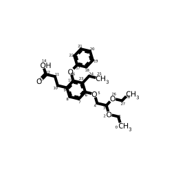 CCOC(COc1ccc(CCC(=O)O)c(Oc2ccccc2)c1CC)OCC